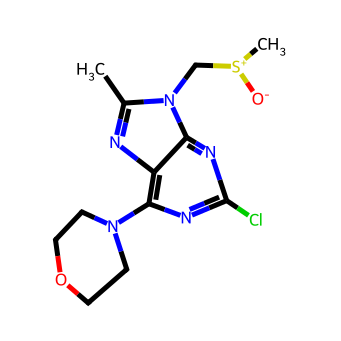 Cc1nc2c(N3CCOCC3)nc(Cl)nc2n1C[S+](C)[O-]